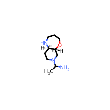 CC(N)N1CC[C@H]2NCCCO[C@@H]2C1